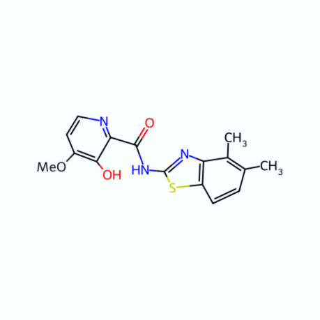 COc1ccnc(C(=O)Nc2nc3c(C)c(C)ccc3s2)c1O